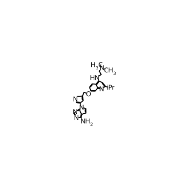 CC(C)c1cc(NCCN(C)C)c2ccc(OCc3cncc(-n4ccc5c(N)ncnc54)c3)cc2n1